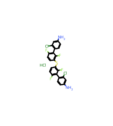 Cl.Nc1ccc(-c2c(F)ccc(Sc3ccc(F)c(-c4ccc(N)cc4Cl)c3F)c2F)c(Cl)c1